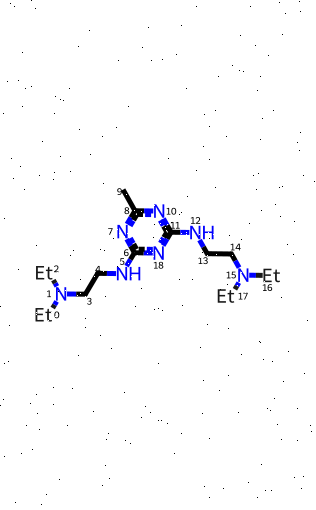 CCN(CC)CCNc1nc(C)nc(NCCN(CC)CC)n1